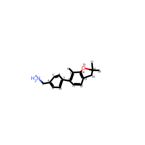 Cc1c(-c2ccc(CN)cc2)ccc2c1OC(C)(C)C2